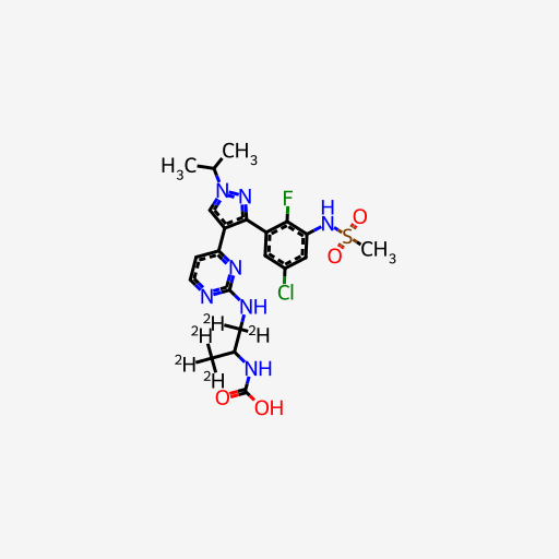 [2H]C([2H])([2H])C(NC(=O)O)C([2H])([2H])Nc1nccc(-c2cn(C(C)C)nc2-c2cc(Cl)cc(NS(C)(=O)=O)c2F)n1